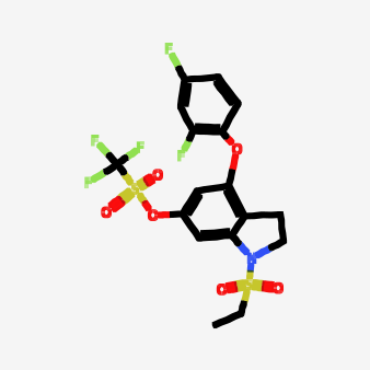 CCS(=O)(=O)N1CCc2c(Oc3ccc(F)cc3F)cc(OS(=O)(=O)C(F)(F)F)cc21